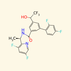 C[C@@H](NC(=O)c1cc(-c2ccc(F)cc2F)cc(C(O)C(F)(F)F)c1)c1ncc(F)cc1F